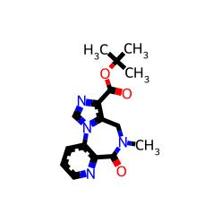 CN1Cc2c(C(=O)OC(C)(C)C)ncn2-c2cccnc2C1=O